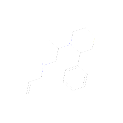 C=CCNCC(C)N1CCSCC1c1ccccc1